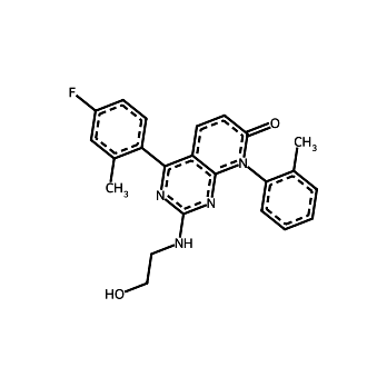 Cc1cc(F)ccc1-c1nc(NCCO)nc2c1ccc(=O)n2-c1ccccc1C